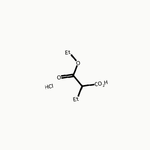 CCOC(=O)C(CC)C(=O)O.Cl